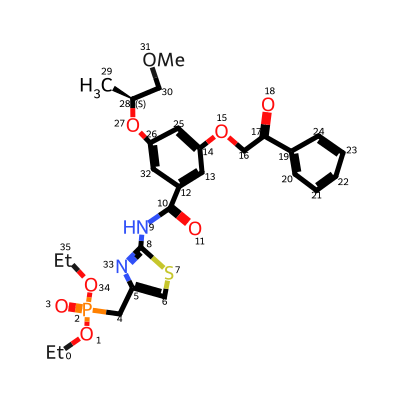 CCOP(=O)(Cc1csc(NC(=O)c2cc(OCC(=O)c3ccccc3)cc(O[C@@H](C)COC)c2)n1)OCC